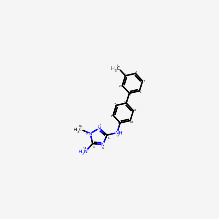 Cc1cccc(-c2ccc(Nc3nc(N)n(C)n3)cc2)c1